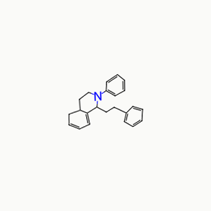 C1=CCC2CCN(c3ccccc3)C(CCc3ccccc3)C2=C1